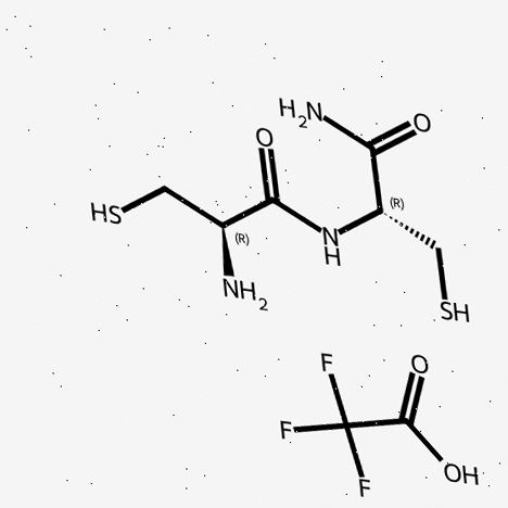 NC(=O)[C@H](CS)NC(=O)[C@@H](N)CS.O=C(O)C(F)(F)F